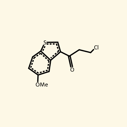 COc1ccc2scc(C(=O)CCCl)c2c1